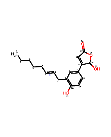 CCCCC/C=C/Cc1cc(C2=CC(=O)OC2O)ccc1O